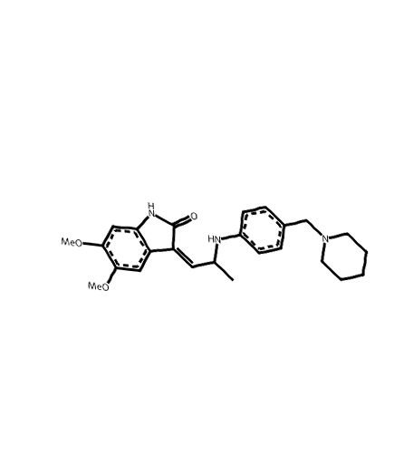 COc1cc2c(cc1OC)C(=CC(C)Nc1ccc(CN3CCCCC3)cc1)C(=O)N2